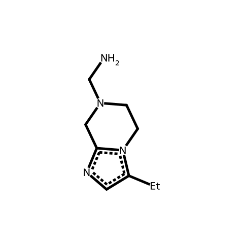 CCc1cnc2n1CCN(CN)C2